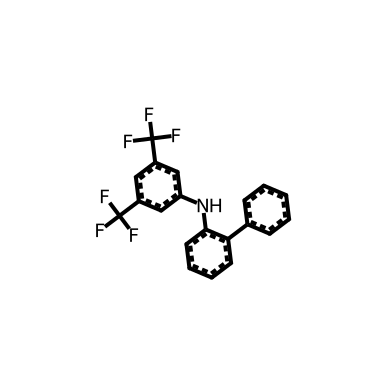 FC(F)(F)c1cc(Nc2ccccc2-c2ccccc2)cc(C(F)(F)F)c1